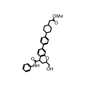 COC(=O)CC1CCC(c2ccc(-c3ccc4c(c3)OC(CO)CC4C(=O)Nc3ccccc3)cc2)CC1